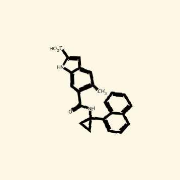 Cc1cc2cc(C(=O)O)[nH]c2cc1C(=O)NC1(c2cccc3ccccc23)CC1